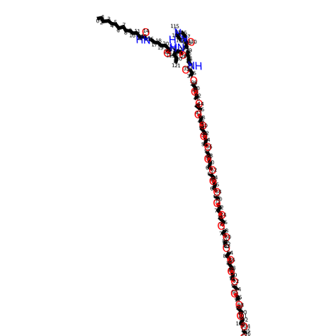 CCCCCCCCCCCCCC(=O)NCCCCCC(=O)N[C@H](C(=O)N[C@@H](CCCCNC(=O)CCOCCOCCOCCOCCOCCOCCOCCOCCOCCOCCOCCOCCOCCOCCOCCOCCOCCOCCOCCOCCOCCOCCOCCOC)C(=O)N1CCN(C)CC1)[C@@H](C)CC